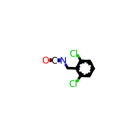 O=C=NCc1c(Cl)cccc1Cl